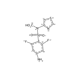 Nc1cc(F)c(S(=O)(=O)N(C(=O)O)c2cscn2)c(F)c1